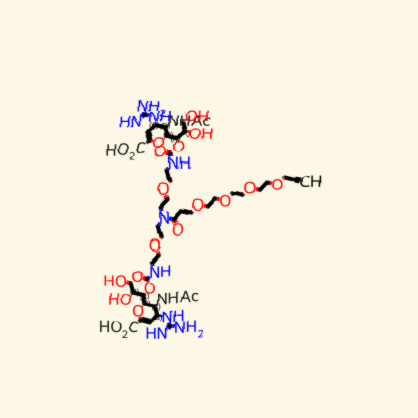 C#CCOCCOCCOCCOCCC(=O)N(CCOCCNC(=O)O[C@@H]([C@@H]1OC(C(=O)O)=C[C@H](NC(=N)N)[C@H]1NC(C)=O)[C@H](O)CO)CCOCCNC(=O)O[C@@H]([C@@H]1OC(C(=O)O)=C[C@H](NC(=N)N)[C@H]1NC(C)=O)[C@H](O)CO